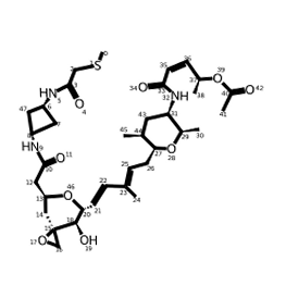 CSCC(=O)N[C@H]1C[C@H](NC(=O)C[C@@H]2C[C@@]3(CO3)[C@H](O)[C@@H](/C=C/C(C)=C/C[C@@H]3O[C@H](C)[C@H](NC(=O)/C=C\[C@H](C)OC(C)=O)C[C@@H]3C)O2)C1